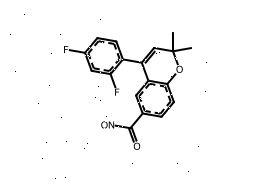 CC1(C)C=C(c2ccc(F)cc2F)c2cc(C(=O)N=O)ccc2O1